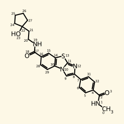 CNC(=O)c1ccc(-c2cn3c(n2)sc2cc(C(=O)NCCC4(O)CCCC4)ccc23)cc1